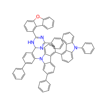 c1ccc(C2=NC(c3ccc(-c4ccccc4)cc3-n3c4cc(-c5ccccc5)ccc4c4c(-c5cccc6c5c5ccccc5n6-c5ccccc5)cccc43)NC(c3cccc4oc5ccccc5c34)=N2)cc1